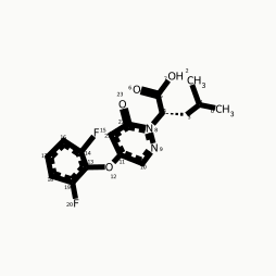 CC(C)C[C@@H](C(=O)O)n1ncc(Oc2c(F)cccc2F)cc1=O